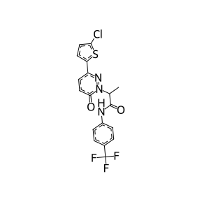 CC(C(=O)Nc1ccc(C(F)(F)F)cc1)n1nc(-c2ccc(Cl)s2)ccc1=O